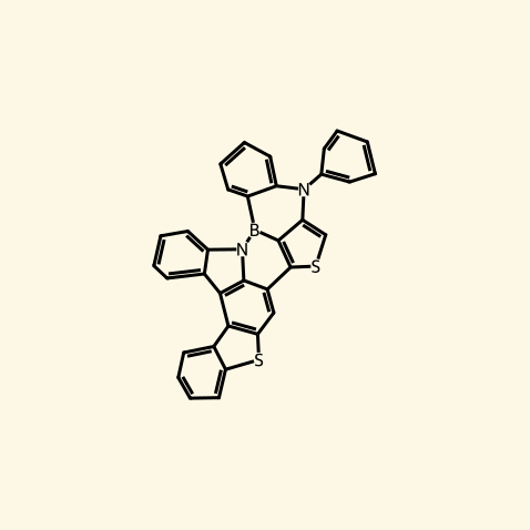 c1ccc(N2c3ccccc3B3c4c2csc4-c2cc4sc5ccccc5c4c4c5ccccc5n3c24)cc1